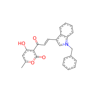 Cc1cc(O)c(C(=O)C=Cc2cn(Cc3ccccc3)c3ccccc23)c(=O)o1